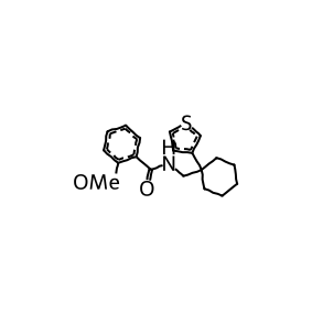 COc1ccccc1C(=O)NCC1(c2ccsc2)CCCCC1